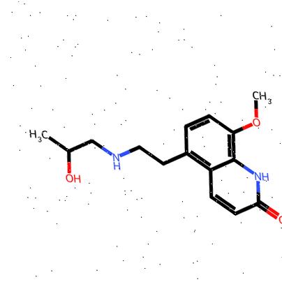 COc1ccc(CCNCC(C)O)c2ccc(=O)[nH]c12